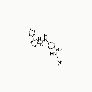 Cc1ccc(-c2cccc3nc(Nc4ccc(C(=O)NCCN(C)C)cc4)nn23)cc1